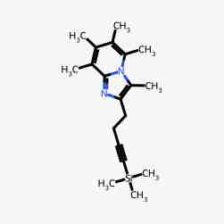 Cc1c(C)c(C)n2c(C)c(CCC#C[Si](C)(C)C)nc2c1C